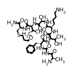 CC(C)[C@H](NC(=O)[C@@H](C)NC(=O)[C@@H](CCCCN)NC(=O)[C@H](NC(=O)[C@@H](Cc1ccccc1)NC(=O)NC(=O)[C@@H](C)N)C(C)O)C(=O)N[C@@H](CSCCC=O)C(N)=O